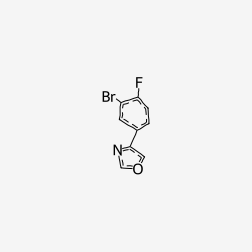 Fc1ccc(-c2cocn2)cc1Br